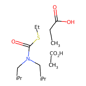 CC(=O)O.CCC(=O)O.CCSC(=O)N(CC(C)C)CC(C)C